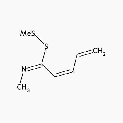 C=C/C=C\C(=N/C)SSC